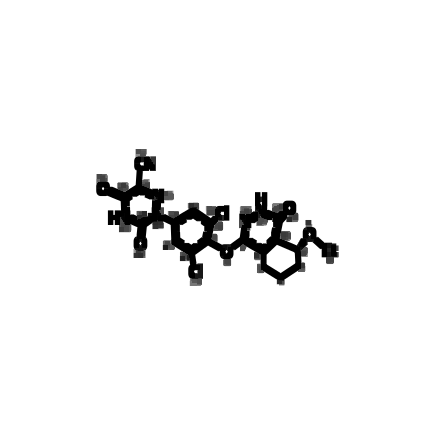 CCO[C@H]1CCCc2c(Oc3c(Cl)cc(-n4nc(C#N)c(=O)[nH]c4=O)cc3Cl)n[nH]c(=O)c21